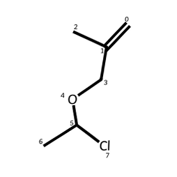 C=C(C)COC(C)Cl